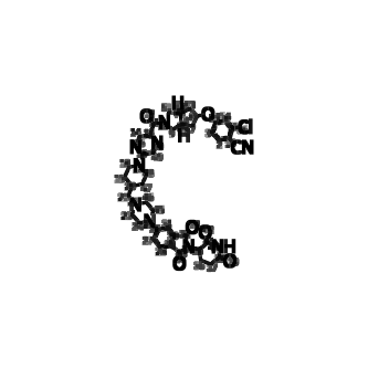 N#Cc1ccc(OC2C[C@@H]3CN(C(=O)c4cnc(N5CCC(CN6CCN(c7ccc8c(c7)C(=O)N(C7CCC(=O)NC7=O)C8=O)CC6)CC5)cn4)C[C@@H]3C2)cc1Cl